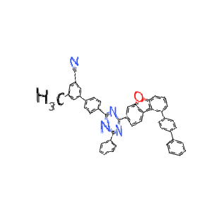 Cc1cc(C#N)cc(-c2ccc(-c3nc(-c4ccccc4)nc(-c4ccc5c(c4)oc4cccc(-c6ccc(-c7ccccc7)cc6)c45)n3)cc2)c1